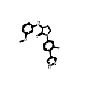 COc1cccc(NC2CCN(c3ccc(-c4cn[nH]c4)c(F)c3)C2=O)c1